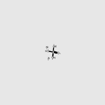 O=P(O)(O)O.[Ni].[Zr]